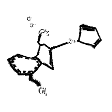 Cc1cccc2c1C=[C]([Zr+2][CH]1C=CC=C1)C2C.[Cl-].[Cl-]